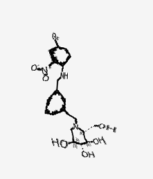 O=[N+]([O-])c1cc(Br)ccc1NCc1cccc(CN2C[C@H](O)[C@@H](O)[C@H](O)[C@H]2CO)c1